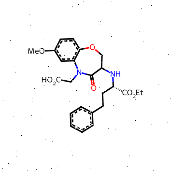 CCOC(=O)[C@H](CCc1ccccc1)NC1COc2ccc(OC)cc2N(CC(=O)O)C1=O